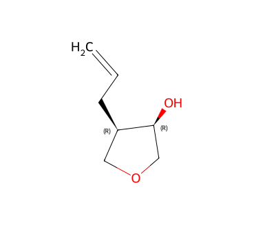 C=CC[C@@H]1COC[C@@H]1O